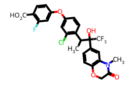 CC(c1ccc(Oc2ccc(C(=O)O)c(F)c2)cc1Cl)C(O)(c1ccc2c(c1)N(C)C(=O)CO2)C(F)(F)F